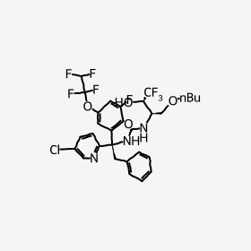 CCCCOC[C@@H](NC(=O)N[C@@](Cc1ccccc1)(c1cc(F)cc(OC(F)(F)C(F)F)c1)c1ccc(Cl)cn1)[C@@H](O)C(F)(F)F